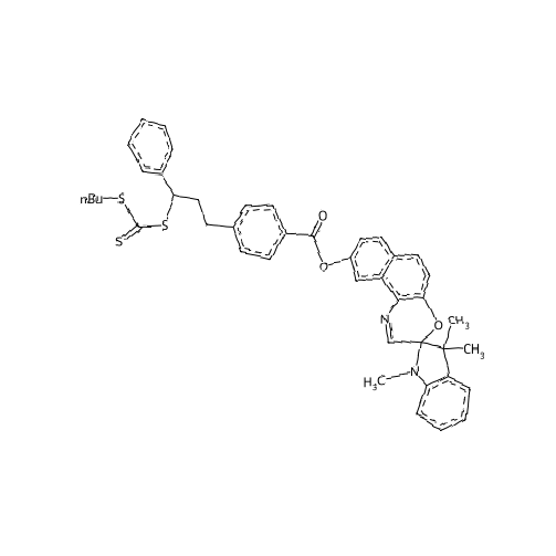 CCCCSC(=S)SC(CCc1ccc(C(=O)Oc2ccc3ccc4c(c3c2)N=CC2(O4)N(C)c3ccccc3C2(C)C)cc1)c1ccccc1